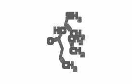 C=C.C=CCC(=O)O.C=C[SiH3]